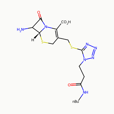 CCCCNC(=O)CCn1nnnc1SCC1=C(C(=O)O)N2C(=O)C(N)[C@H]2SC1